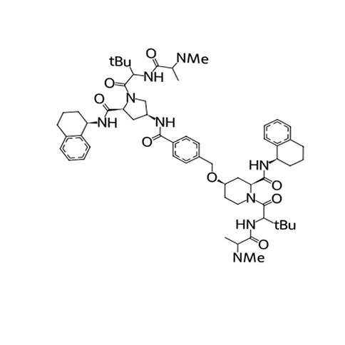 CNC(C)C(=O)NC(C(=O)N1CC[C@@H](OCc2ccc(C(=O)N[C@H]3C[C@@H](C(=O)N[C@@H]4CCCc5ccccc54)N(C(=O)C(NC(=O)C(C)NC)C(C)(C)C)C3)cc2)C[C@H]1C(=O)N[C@@H]1CCCc2ccccc21)C(C)(C)C